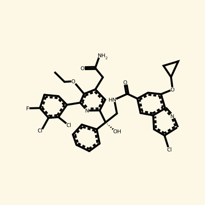 CCOc1c(CC(N)=O)cc([C@@](O)(CNC(=O)c2cc(OC3CC3)c3ncc(Cl)cc3c2)c2ccccc2)nc1-c1ccc(F)c(Cl)c1Cl